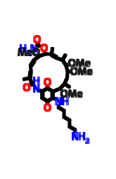 COC1/C=C\C=C(/C)C(=O)NC2=CC(=O)C(NCCCCCCN)=C(C2=O)C(OC)C(C)CC(OC)C(OC)C(C)/C=C(\C)C1OC(N)=O